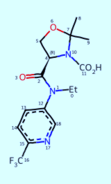 CCN(C(=O)[C@H]1COC(C)(C)N1C(=O)O)c1ccc(C(F)(F)F)nc1